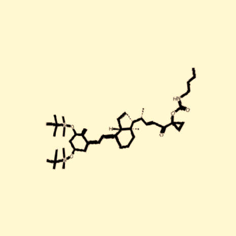 C=C1/C(=C\C=C2CCC[C@]3(C)[C@@H]([C@H](C)C=CC(=O)C4(OC(=O)NCCCC)CC4)CC[C@@H]23)CC(O[Si](C)(C)C(C)(C)C)CC1O[Si](C)(C)C(C)(C)C